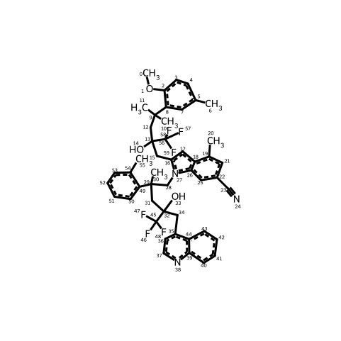 COc1ccc(C)cc1C(C)(C)CC(O)(Cc1cc2c(C)cc(C#N)cc2n1CC(C)(CC(O)(Cc1ccnc2ccccc12)C(F)(F)F)c1ccccc1C)C(F)(F)F